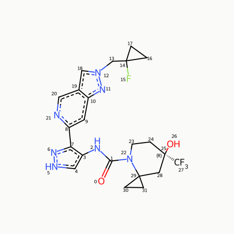 O=C(Nc1c[nH]nc1-c1cc2nn(CC3(F)CC3)cc2cn1)N1CC[C@](O)(C(F)(F)F)CC12CC2